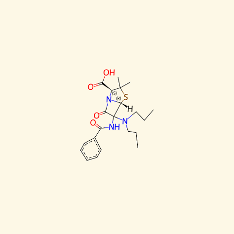 CCCN(CCC)C1(NC(=O)c2ccccc2)C(=O)N2[C@@H](C(=O)O)C(C)(C)S[C@@H]21